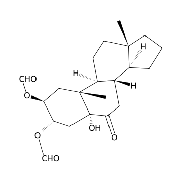 C[C@@]12CCC[C@H]1[C@@H]1CC(=O)[C@@]3(O)C[C@H](OC=O)[C@@H](OC=O)C[C@]3(C)[C@H]1CC2